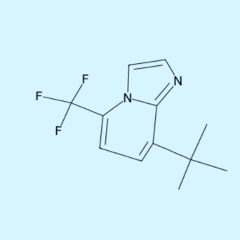 CC(C)(C)c1ccc(C(F)(F)F)n2ccnc12